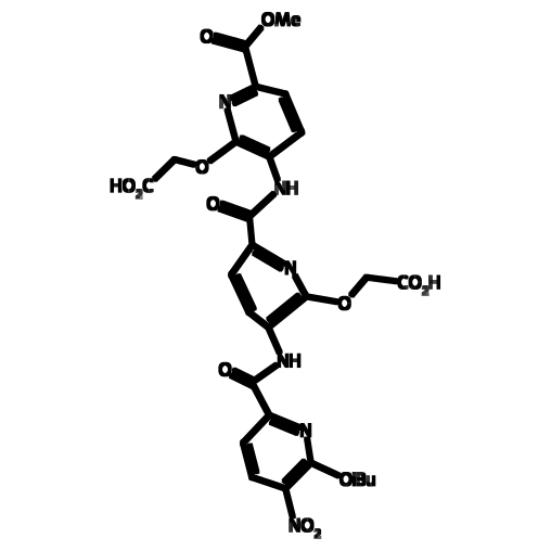 COC(=O)c1ccc(NC(=O)c2ccc(NC(=O)c3ccc([N+](=O)[O-])c(OCC(C)C)n3)c(OCC(=O)O)n2)c(OCC(=O)O)n1